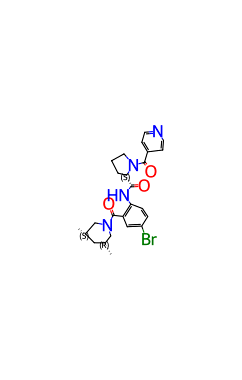 C[C@@H]1C[C@H](C)CN(C(=O)c2cc(Br)ccc2NC(=O)[C@@H]2CCCN2C(=O)c2ccncc2)C1